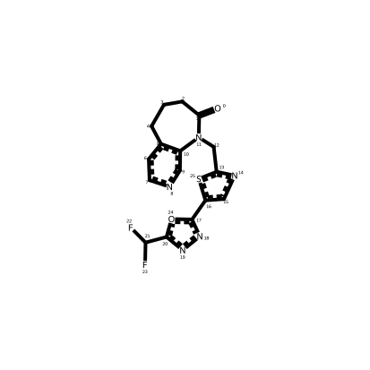 O=C1CCCc2ccncc2N1Cc1ncc(-c2nnc(C(F)F)o2)s1